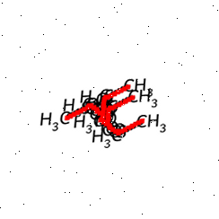 CCCCCCCCCCCCSCC(C)C(=O)OCCOC(=O)CCN(CCCN(C)CCCN(CCC(=O)OCCOC(=O)C(C)CSCCCCCCCCCCCC)CCC(=O)OCCOC(=O)C(C)CSCCCCCCCCCCCC)CCC(=O)OCCOC(=O)C(C)CSCCCCCCCCCCCC